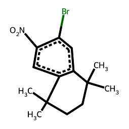 CC1(C)CCC(C)(C)c2cc([N+](=O)[O-])c(Br)cc21